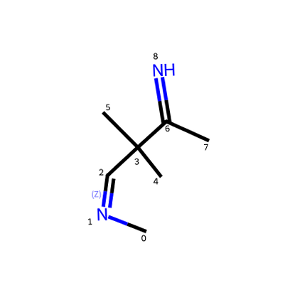 C/N=C\C(C)(C)C(C)=N